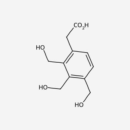 O=C(O)Cc1ccc(CO)c(CO)c1CO